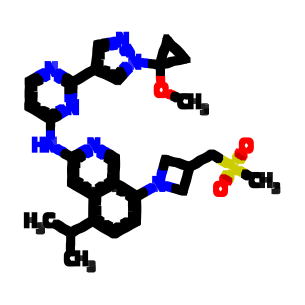 COC1(n2cc(-c3nccc(Nc4cc5c(C(C)C)ccc(N6CC(CS(C)(=O)=O)C6)c5cn4)n3)cn2)CC1